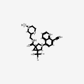 CN1CCOC(CNC(=O)C23CN(c4ccc(C#N)c5ncccc45)CC2(C(F)(F)F)C3)C1